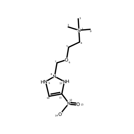 C[Si](C)(C)CCOCN1NC=C([N+](=O)[O-])N1